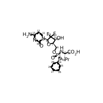 CC(C)[C@H](NP(=O)(OC[C@H]1O[C@@H](n2ccc(N)nc2=O)C(F)(F)[C@@H]1O)Oc1ccccc1)C(=O)O